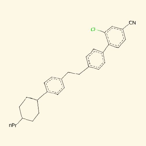 CCCC1CCC(c2ccc(CCc3ccc(-c4ccc(C#N)cc4Cl)cc3)cc2)CC1